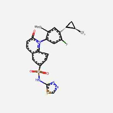 COc1cc([C@@H]2C[C@H]2C(F)(F)F)c(F)cc1-n1c(=O)ccc2cc(S(=O)(=O)Nc3nncs3)ccc21